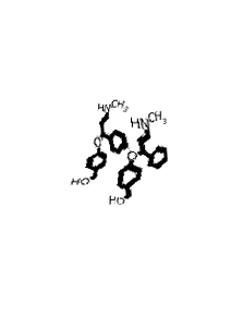 CNCCC(Oc1ccc(CO)cc1)c1ccccc1.CNCCC(Oc1ccc(CO)cc1)c1ccccc1